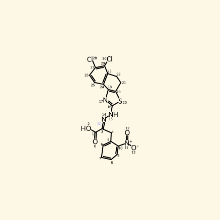 O=C(O)/C(Cc1ccccc1[N+](=O)[O-])=N/Nc1nc2c(s1)CCc1c-2ccc(Cl)c1Cl